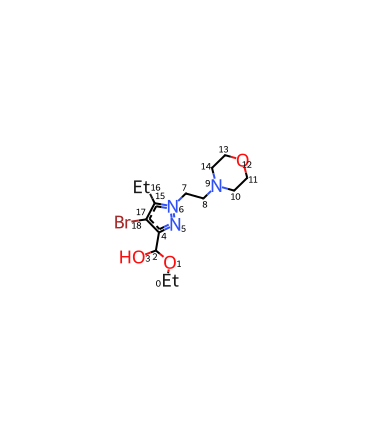 CCOC(O)c1nn(CCN2CCOCC2)c(CC)c1Br